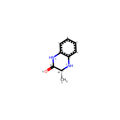 C[C@H]1Nc2ccccc2NC1=O